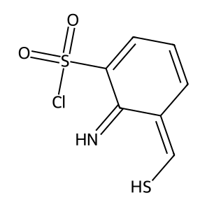 N=C1C(S(=O)(=O)Cl)=CC=C/C1=C/S